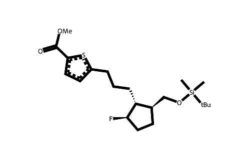 COC(=O)c1ccc(CCC[C@@H]2[C@@H](CO[Si](C)(C)C(C)(C)C)CC[C@H]2F)s1